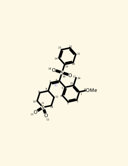 COc1cccc(/C(=C\C2CCS(=O)(=O)CC2)S(=O)(=O)c2ccccc2)c1C